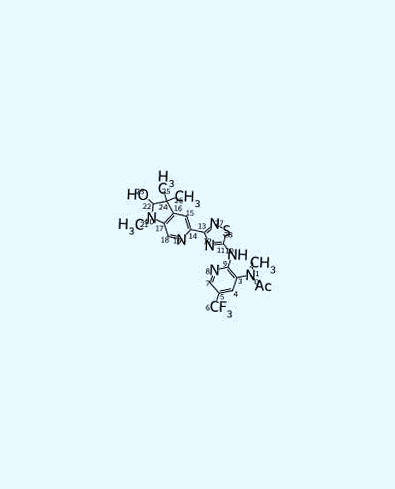 CC(=O)N(C)c1cc(C(F)(F)F)cnc1Nc1nc(-c2cc3c(cn2)N(C)C(O)C3(C)C)ns1